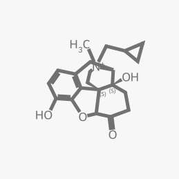 C[N+]1(CC2CC2)CC[C@]23c4c5ccc(O)c4OC2C(=O)CC[C@@]3(O)C1C5